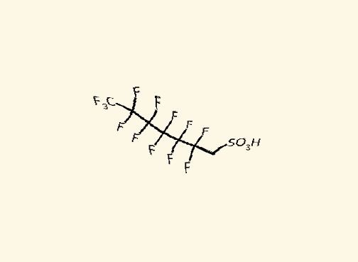 O=S(=O)(O)CC(F)(F)C(F)(F)C(F)(F)C(F)(F)C(F)(F)C(F)(F)F